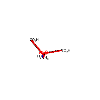 CN(C)Cc1cc(COC(=O)CCCCCCCCC=CCC=CCCCCCCCC(=O)O)cc(COC(=O)CCCCCCCCC=CCC=CCCCCCCCC(=O)O)c1